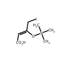 C[Si](C)(C)OC(=CC(=O)O)CI